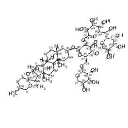 C[C@H]1CC[C@@]2(OC1)O[C@H]1C[C@H]3[C@@H]4CC[C@@H]5C[C@@H](O[C@@H]6O[C@H](CO[C@@H]7OC[C@H](O)[C@H](O)[C@H]7O)[C@@H](O[C@@H]7OC[C@H](O)[C@H](O)[C@H]7O)[C@H](O)[C@H]6O[C@@H]6O[C@H](CO)[C@@H](O)[C@H](O)[C@H]6O)CC[C@]5(C)[C@H]4CC[C@]3(C)[C@H]1[C@@H]2C